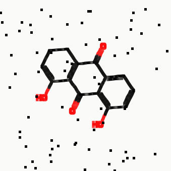 O=C1C2=C(C(=O)c3c(O)cccc31)C(O)=CCC2